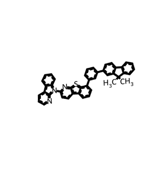 CC1(C)c2ccccc2-c2ccc(-c3cccc(-c4cccc5c4sc4nc(-n6c7ccccc7c7cccnc76)ccc45)c3)cc21